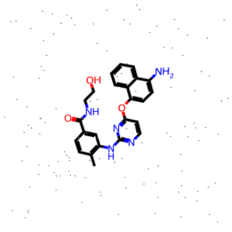 Cc1ccc(C(=O)NCCO)cc1Nc1nccc(Oc2ccc(N)c3ccccc23)n1